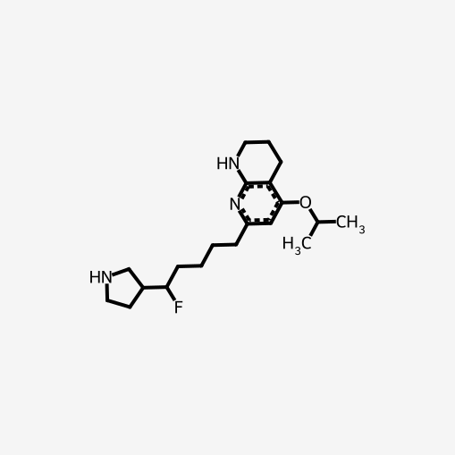 CC(C)Oc1cc(CCCCC(F)C2CCNC2)nc2c1CCCN2